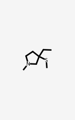 CCC1(SC)CCN(C)C1